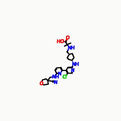 CC(C)(NC[C@H]1CC[C@H](Nc2cc(-c3cccc(NCC4(C#N)CCOCC4)n3)c(Cl)cn2)CC1)C(=O)O